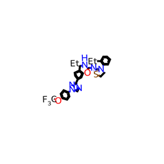 CCc1ccccc1N1CCS/C1=N\C(=O)NC(CC)c1ccc(-c2ncn(-c3ccc(OC(F)(F)F)cc3)n2)cc1